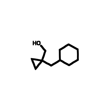 OCC1(CC2CCCCC2)CC1